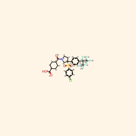 O=C(O)C1CCC(C(=O)N2CCC(c3ccc(C(F)(C(F)(F)F)C(F)(F)F)cc3)(S(=O)(=O)c3ccc(Cl)cc3)C2)CC1